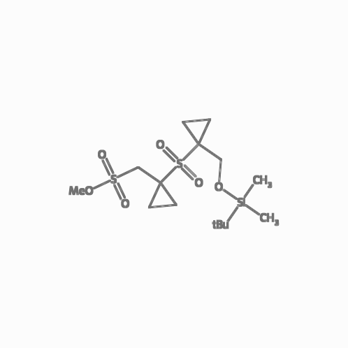 COS(=O)(=O)CC1(S(=O)(=O)C2(CO[Si](C)(C)C(C)(C)C)CC2)CC1